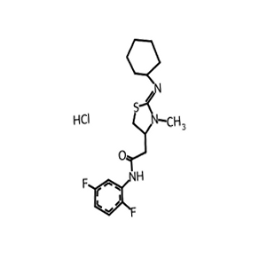 CN1C(=NC2CCCCC2)SCC1CC(=O)Nc1cc(F)ccc1F.Cl